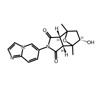 CC12C[C@H](O)C(C)(O1)[C@@H]1C(=O)N(c3ccc4nccn4c3)C(=O)[C@@H]12